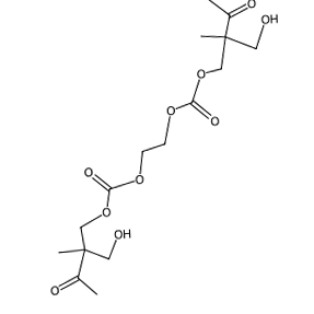 CC(=O)C(C)(CO)COC(=O)OCCOC(=O)OCC(C)(CO)C(C)=O